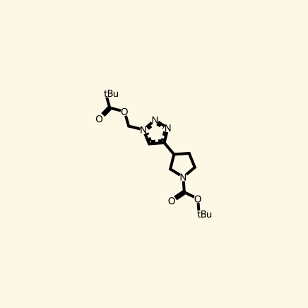 CC(C)(C)OC(=O)N1CCC(c2cn(COC(=O)C(C)(C)C)nn2)C1